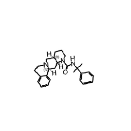 CC(C)(NC(=O)N1CCC[C@@H]2CN3CCc4ccccc4[C@@H]3C[C@@H]21)c1ccccc1